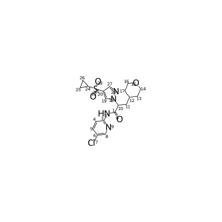 O=C(Nc1ccc(Cl)cn1)C(CC1CCOCC1)n1cc(S(=O)(=O)C2CC2)cn1